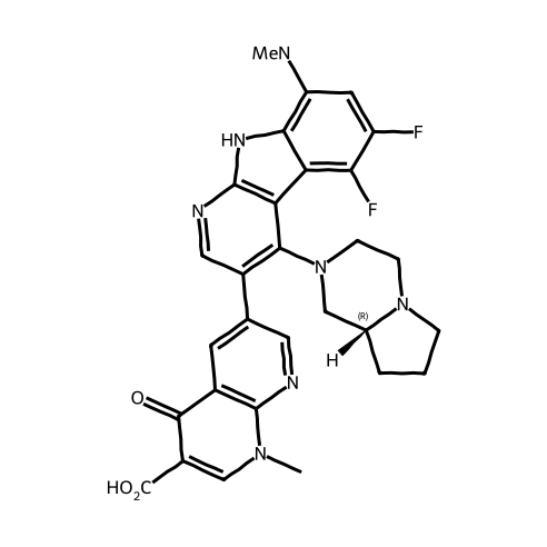 CNc1cc(F)c(F)c2c1[nH]c1ncc(-c3cnc4c(c3)c(=O)c(C(=O)O)cn4C)c(N3CCN4CCC[C@@H]4C3)c12